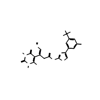 C=N/C=C(/CC(=O)Nc1nc(-c2cc(F)cc(C(F)(F)F)c2)cs1)c1c(N)n(C)c(=O)n(C)c1=O